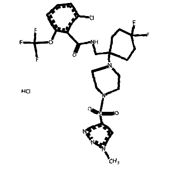 Cl.Cn1cc(S(=O)(=O)N2CCN(C3(CNC(=O)c4c(Cl)cccc4OC(F)(F)F)CCC(F)(F)CC3)CC2)nn1